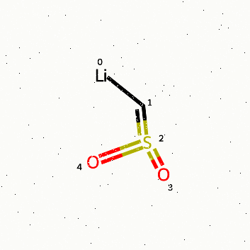 [Li][CH]=S(=O)=O